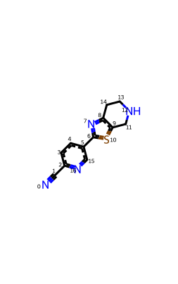 N#Cc1ccc(-c2nc3c(s2)CNCC3)cn1